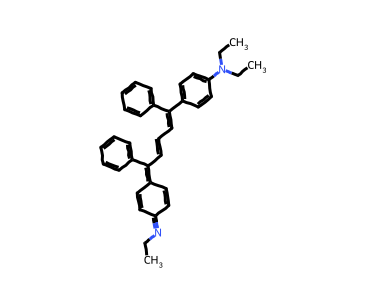 CCN=C1C=CC(=C(/C=C/C=C(\c2ccccc2)c2ccc(N(CC)CC)cc2)c2ccccc2)C=C1